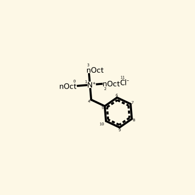 CCCCCCCC[N+](CCCCCCCC)(CCCCCCCC)Cc1ccccc1.[Cl-]